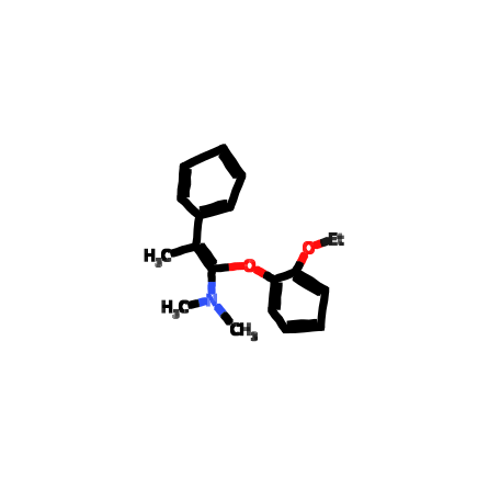 CCOc1ccccc1OC(=C(C)c1ccccc1)N(C)C